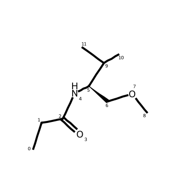 CCC(=O)N[C@H](COC)C(C)C